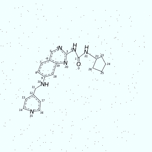 O=C(Nc1ncc2ccc(NCc3ccncc3)cc2n1)NC1CCCC1